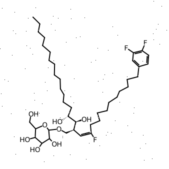 CCCCCCCCCCCCCC[C@@H](O)[C@@H](O)[C@@H](/C=C(/F)CCCCCCCCCCc1ccc(F)c(F)c1)COC1OC(CO)C(O)C(O)C1O